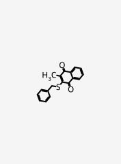 CC1=C(SCc2ccccc2)C(=O)c2ccccc2C1=O